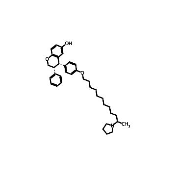 CC(CCCCCCCCCCOc1ccc([C@H]2c3cc(O)ccc3OC[C@H]2c2ccccc2)cc1)N1CCCC1